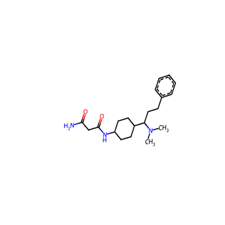 CN(C)C(CCc1ccccc1)C1CCC(NC(=O)CC(N)=O)CC1